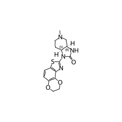 CN1CC[C@H]2[C@@H](C1)NC(=O)N2c1nc2c3c(ccc2s1)OCCO3